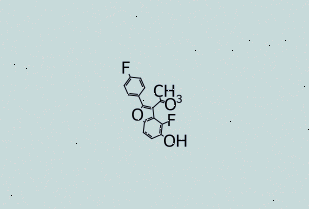 CC(=O)c1c(-c2ccc(F)cc2)oc2ccc(O)c(F)c12